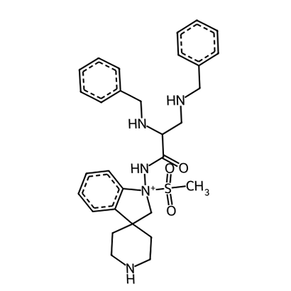 CS(=O)(=O)[N+]1(NC(=O)C(CNCc2ccccc2)NCc2ccccc2)CC2(CCNCC2)c2ccccc21